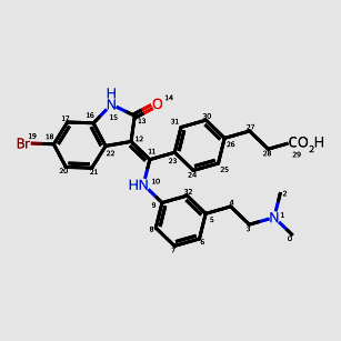 CN(C)CCc1cccc(NC(=C2C(=O)Nc3cc(Br)ccc32)c2ccc(CCC(=O)O)cc2)c1